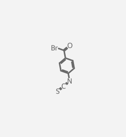 O=C(Br)c1ccc(N=C=S)cc1